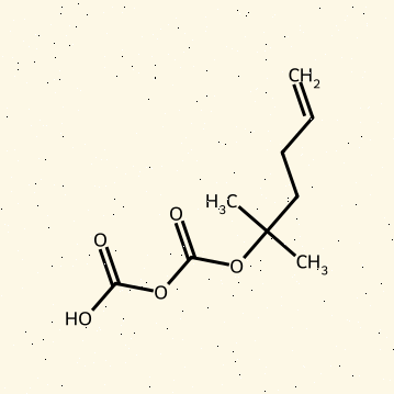 C=CCCC(C)(C)OC(=O)OC(=O)O